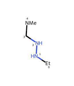 CCNNCNC